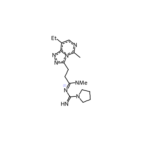 CCc1cnc(C)n2c(CC/C(=N/C(=N)N3CCCC3)NC)nnc12